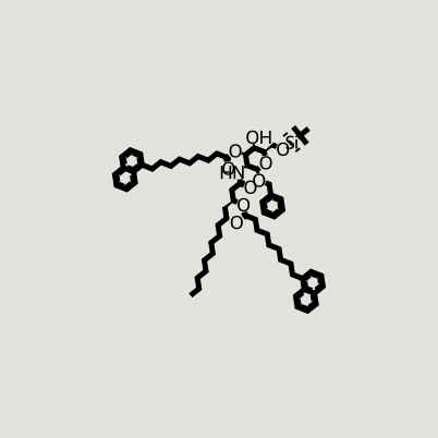 CCCCCCCCCCC[C@@H](CC(=O)N[C@H]1[C@H](OCc2ccccc2)O[C@H](CO[Si](C)(C)C(C)(C)C)[C@@H](O)[C@@H]1OC(=O)CCCCCCCCc1cccc2ccccc12)OC(=O)CCCCCCCCc1cccc2ccccc12